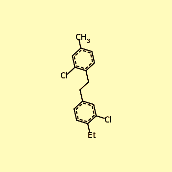 CCc1ccc(CCc2ccc(C)cc2Cl)cc1Cl